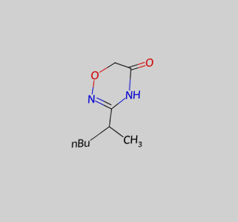 CCCCC(C)C1=NOCC(=O)N1